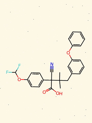 CC(C)(Cc1cccc(Oc2ccccc2)c1)C(C#N)(C(=O)O)c1ccc(OC(F)F)cc1